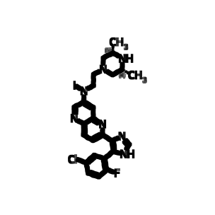 C[C@@H]1CN(CCN(I)c2cnc3ccc(-c4nc[nH]c4-c4cc(Cl)ccc4F)nc3c2)C[C@H](C)N1